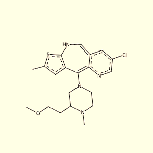 COCCC1CN(C2=c3ncc(Cl)cc3=CNc3sc(C)cc32)CCN1C